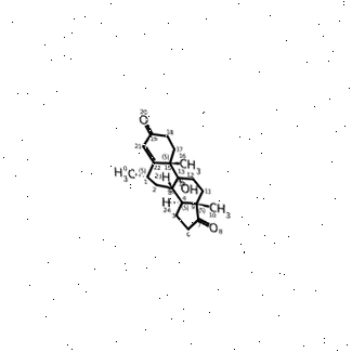 C[C@H]1C[C@H]2[C@@H]3CCC(=O)[C@@]3(C)CC[C@]2(O)[C@@]2(C)CCC(=O)C=C12